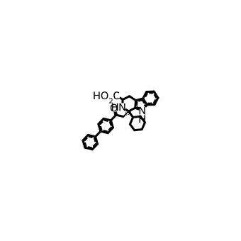 O=C(C[C@@]1(C2CCCCC2)NC(C(=O)O)Cc2c1[nH]c1ccccc21)c1ccc(-c2ccccc2)cc1